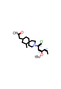 C\C=C/C(=C\C(=C\Cl)N1CCC2(CCC(CC(=O)N=O)CC2C)CC1)OC(C)(C)C